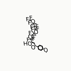 COc1ccc(C(=O)/C=C(\O)C(F)(F)OC(F)(F)C(C)(C)OC(F)(F)C(F)(F)C(C)(C)OC(F)(F)F)cc1